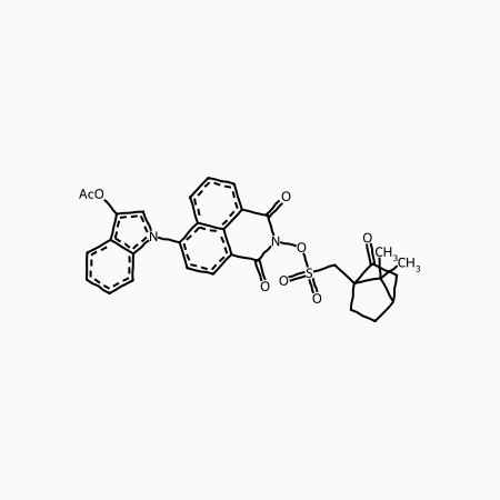 CC(=O)Oc1cn(-c2ccc3c4c(cccc24)C(=O)N(OS(=O)(=O)CC24CCC(CC2=O)C4(C)C)C3=O)c2ccccc12